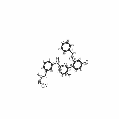 C/S(Cc1cccc(Nc2ncc(F)c(-c3ccc(F)cc3OCc3ccccc3)n2)c1)=N/C#N